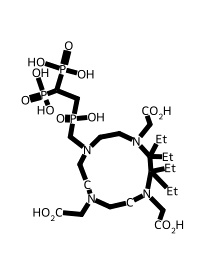 CCC1(CC)N(CC(=O)O)CCN(CC(=O)O)CCN(CP(=O)(O)CC(P(=O)(O)O)P(=O)(O)O)CCN(CC(=O)O)C1(CC)CC